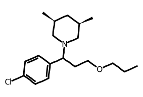 CCCOCCC(c1ccc(Cl)cc1)N1C[C@H](C)C[C@H](C)C1